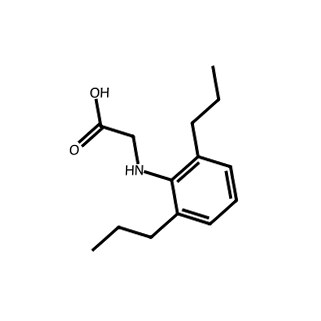 CCCc1cccc(CCC)c1NCC(=O)O